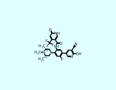 C[C@@H]1CN(c2cc(F)c(-c3cnc(O)c(C#N)c3)cc2NC(=O)c2c[nH]c(=O)cc2C(F)(F)F)C[C@H](C)N1C